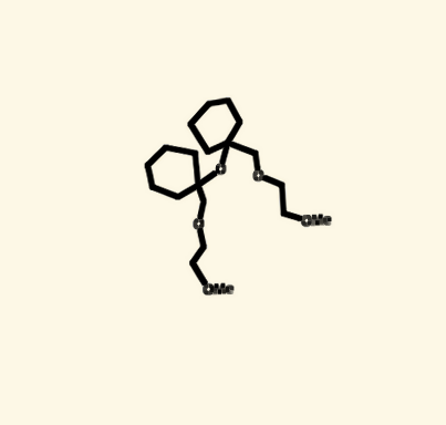 COCCOCC1(OC2(COCCOC)CCCCC2)CCCCC1